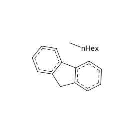 CCCCCCC.c1ccc2c(c1)Cc1ccccc1-2